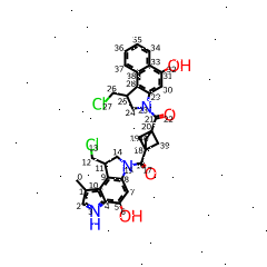 Cc1c[nH]c2c(O)cc3c(c12)C(CCl)CN3C(=O)C12CC(C(=O)N3CC(CCl)c4c3cc(O)c3ccccc43)(C1)C2